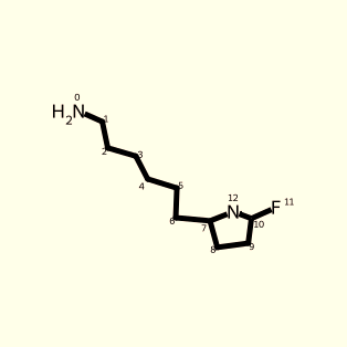 NCCCCCCC1CCC(F)[N]1